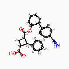 N#Cc1ccc(-c2ccccc2OC(=O)C2CC(C(=O)O)C2c2ccccc2)cc1